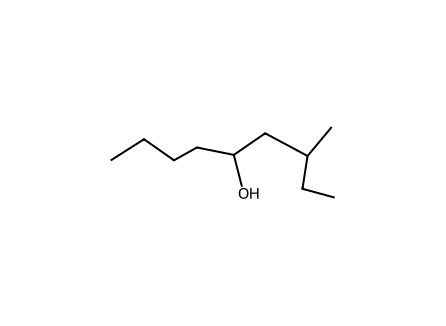 CCCCC(O)CC(C)CC